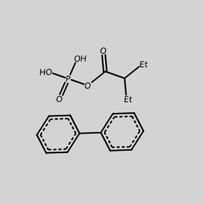 CCC(CC)C(=O)OP(=O)(O)O.c1ccc(-c2ccccc2)cc1